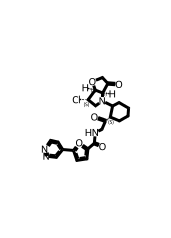 O=C(NCC(=O)[C@H]1CCCCC1N1C[C@H](Cl)[C@H]2OCC(=O)[C@H]21)c1ccc(-c2ccnnc2)o1